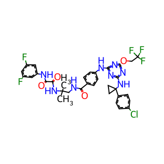 CC(C)(CNC(=O)c1ccc(Nc2nc(NC3(c4ccc(Cl)cc4)CC3)nc(OCC(F)(F)F)n2)cc1)NC(=O)C(=O)Nc1cc(F)cc(F)c1